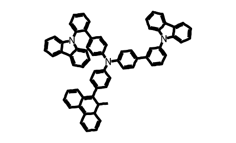 CC1C(c2ccc(N(c3ccc(-c4cccc(-n5c6ccccc6c6ccccc65)c4)cc3)c3ccc(-c4ccccc4-n4c5ccccc5c5ccccc54)cc3)cc2)=c2ccccc2=C2C=CC=CC21